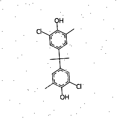 Cc1cc(C(C)(C)c2cc(C)c(O)c(Cl)c2)cc(Cl)c1O